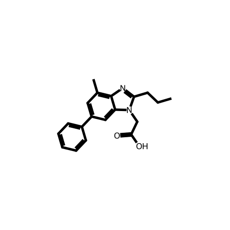 CCCc1nc2c(C)cc(-c3ccccc3)cc2n1CC(=O)O